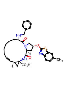 Cc1ccc2nc(O[C@@H]3C[C@H]4C(=O)N[C@]5(C(=O)O)C[C@H]5/C=C\CCCCC[C@H](NCc5ccccc5)C(=O)N4C3)sc2c1